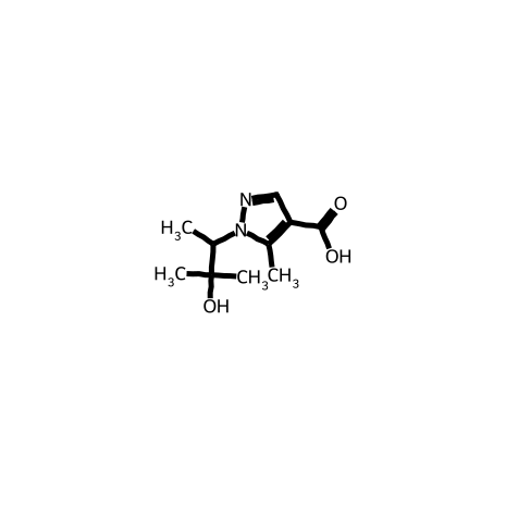 Cc1c(C(=O)O)cnn1C(C)C(C)(C)O